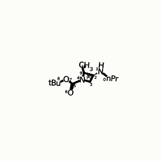 CCCN[C@@H]1CN(C(=O)OC(C)(C)C)C1C